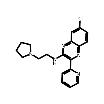 Clc1ccc2nc(-c3ccccn3)c(NCCN3CCCC3)nc2c1